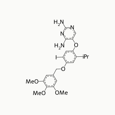 COc1cc(COc2cc(C(C)C)c(Oc3cnc(N)nc3N)cc2I)cc(OC)c1OC